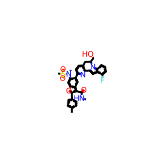 CNC(=O)c1c(-c2ccc(C)cc2)oc2cc(N(C)S(C)(=O)=O)c(-c3ccc4c(n3)-c3cc5c(F)cccc5n3C(CO)C4)cc12